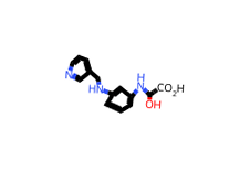 O=C(O)C(O)Nc1cccc(NCc2cccnc2)c1